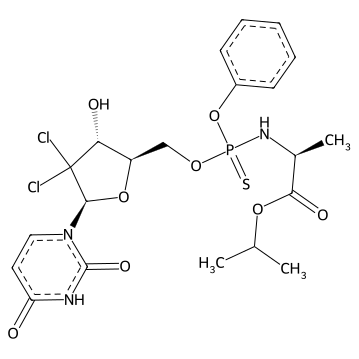 CC(C)OC(=O)[C@H](C)NP(=S)(OC[C@H]1O[C@@H](n2ccc(=O)[nH]c2=O)C(Cl)(Cl)[C@@H]1O)Oc1ccccc1